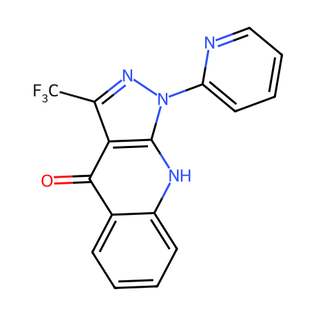 O=c1c2ccccc2[nH]c2c1c(C(F)(F)F)nn2-c1ccccn1